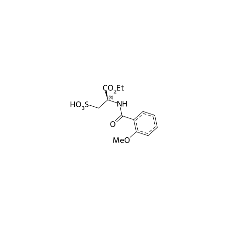 CCOC(=O)[C@H](CS(=O)(=O)O)NC(=O)c1ccccc1OC